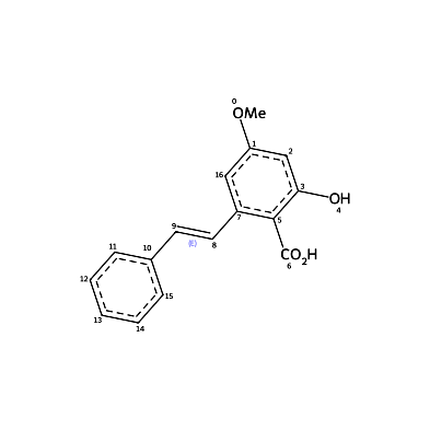 COc1cc(O)c(C(=O)O)c(/C=C/c2ccccc2)c1